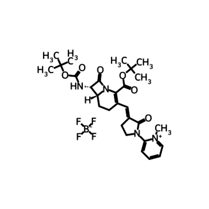 C[n+]1ccccc1N1CCC(=CC2=C(C(=O)OC(C)(C)C)N3C(=O)[C@@H](NC(=O)OC(C)(C)C)[C@H]3CC2)C1=O.F[B-](F)(F)F